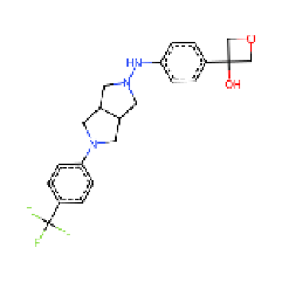 OC1(c2ccc(NN3CC4CN(c5ccc(C(F)(F)F)cc5)CC4C3)cc2)COC1